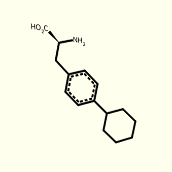 N[C@@H](Cc1ccc(C2CCCCC2)cc1)C(=O)O